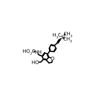 C[Si](C)(C)C#Cc1ccc(-c2cc(CNC(=O)O)c(CO)c3c2OCC3)cc1